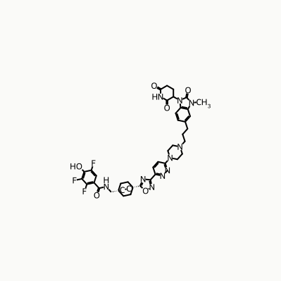 Cn1c(=O)n(C2CCC(=O)NC2=O)c2ccc(CCCN3CCN(c4ccc(-c5noc([C@]67CC[C@](CNC(=O)c8cc(F)c(O)c(F)c8F)(CC6)CC7)n5)nn4)CC3)cc21